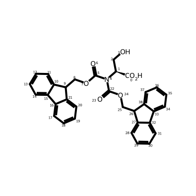 O=C(O)[C@H](CO)N(C(=O)OCC1c2ccccc2-c2ccccc21)C(=O)OCC1c2ccccc2-c2ccccc21